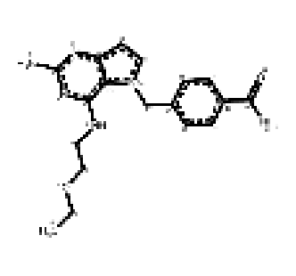 CCOCCNc1nc(N)nc2ccn(Cc3ccc(C(N)=O)cc3)c12